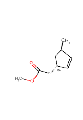 COC(=O)C[C@H]1C=CC(C)C1